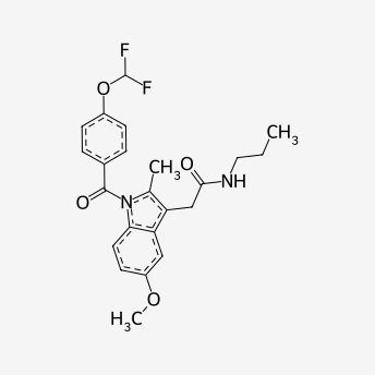 CCCNC(=O)Cc1c(C)n(C(=O)c2ccc(OC(F)F)cc2)c2ccc(OC)cc12